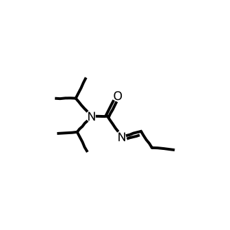 CCC=NC(=O)N(C(C)C)C(C)C